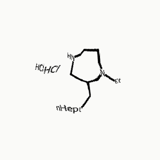 CCCCCCCCC1CNCCN1CC.Cl.Cl